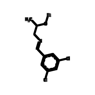 CCOC(C)C/N=C/c1cc(Cl)cc(Cl)c1